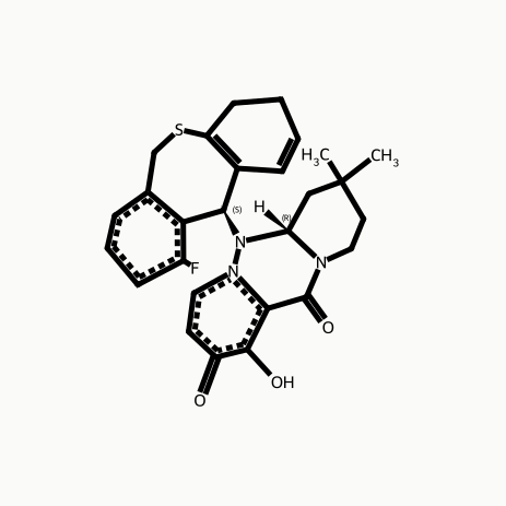 CC1(C)CCN2C(=O)c3c(O)c(=O)ccn3N([C@@H]3C4=C(CCC=C4)SCc4cccc(F)c43)[C@@H]2C1